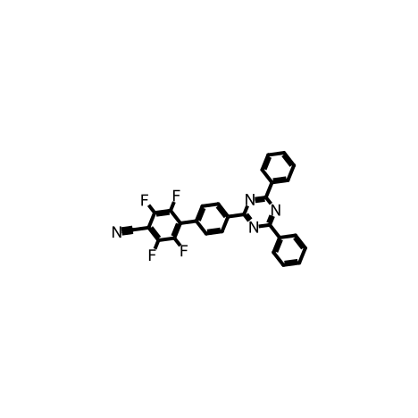 N#Cc1c(F)c(F)c(-c2ccc(-c3nc(-c4ccccc4)nc(-c4ccccc4)n3)cc2)c(F)c1F